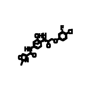 Cc1nc(C(=O)NC23CCC(NC(=O)COc4ccc(Cl)c(F)c4)(CC2)C(O)C3)co1